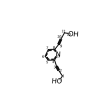 OCC#Cc1cccc(C#CCO)n1